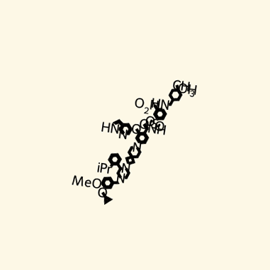 COc1ccc(CN2CCN(C3CC4(CCN(c5ccc(C(=O)NS(=O)(=O)c6ccc(NCC7CCC(C)(O)CC7)c([N+](=O)[O-])c6)c(Oc6cnc7[nH]ccc7c6)c5)CC4)C3)C(c3ccccc3C(C)C)C2)cc1OC1CC1